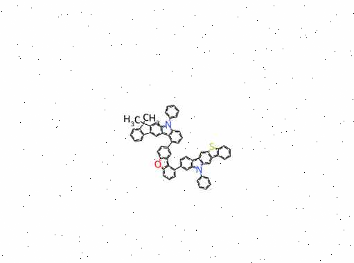 CC1(C)c2ccccc2-c2cc3c4c(-c5ccc6oc7cccc(-c8ccc9c%10cc%11sc%12ccccc%12c%11cc%10n(-c%10ccccc%10)c9c8)c7c6c5)cccc4n(-c4ccccc4)c3cc21